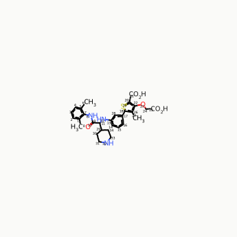 Cc1cccc(C)c1NC(=O)C(Nc1cccc(-c2sc(C(=O)O)c(OCC(=O)O)c2C)c1)C1CCNCC1